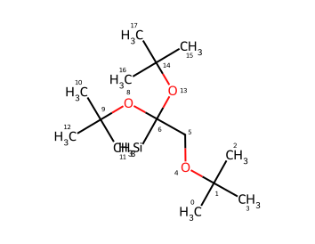 CC(C)(C)OCC([SiH3])(OC(C)(C)C)OC(C)(C)C